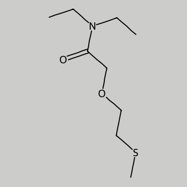 CCN(CC)C(=O)COCCSC